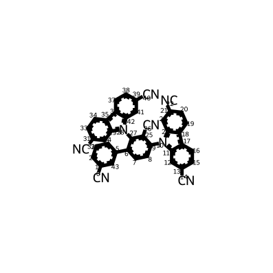 N#Cc1cccc(-c2ccc(-n3c4cc(C#N)ccc4c4ccc(C#N)cc43)c(C#N)c2-n2c3cc(C#N)ccc3c3ccc(C#N)cc32)c1